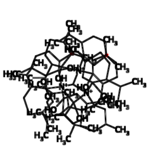 CC1CCC(C(C)C)C(O)([N+](C([N+](C2(O)CC(C)CCC2C(C)C)(C2(O)CC(C)CCC2C(C)C)C2(O)CC(C)CCC2C(C)C)[N+](C2(O)CC(C)CCC2C(C)C)(C2(O)CC(C)CCC2C(C)C)C2(O)CC(C)CCC2C(C)C)(C2(O)CC(C)CCC2C(C)C)C2(O)CC(C)CCC2C(C)C)C1